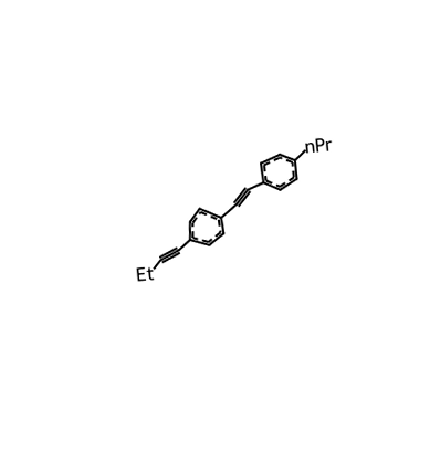 CCC#Cc1ccc(C#Cc2ccc(CCC)cc2)cc1